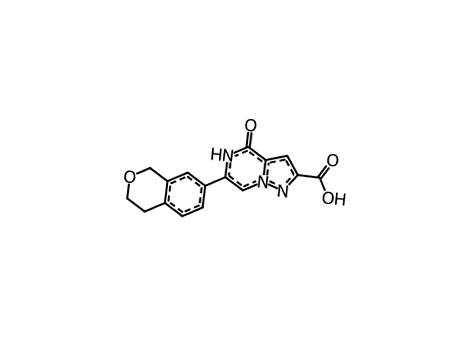 O=C(O)c1cc2c(=O)[nH]c(-c3ccc4c(c3)COCC4)cn2n1